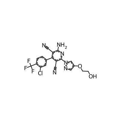 N#Cc1c(N)nc(-n2cc(OCCO)cn2)c(C#N)c1-c1ccc(C(F)(F)F)c(Cl)c1